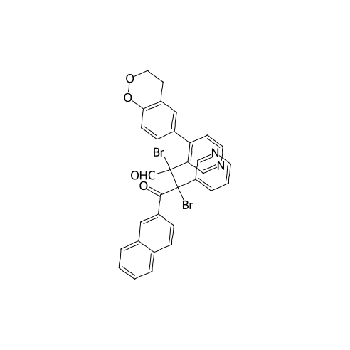 O=CC(Br)(c1cnccc1-c1ccc2c(c1)CCOO2)C(Br)(C(=O)c1ccc2ccccc2c1)c1cccnc1